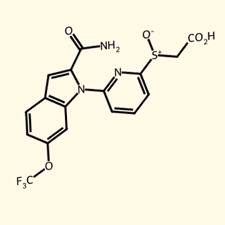 NC(=O)c1cc2ccc(OC(F)(F)F)cc2n1-c1cccc([S+]([O-])CC(=O)O)n1